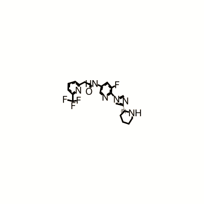 O=C(Cc1cccc(C(F)(F)F)n1)Nc1cnc(-n2cnc([C@H]3CCCCN3)c2)c(F)c1